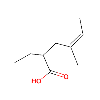 CC=C(C)CC(CC)C(=O)O